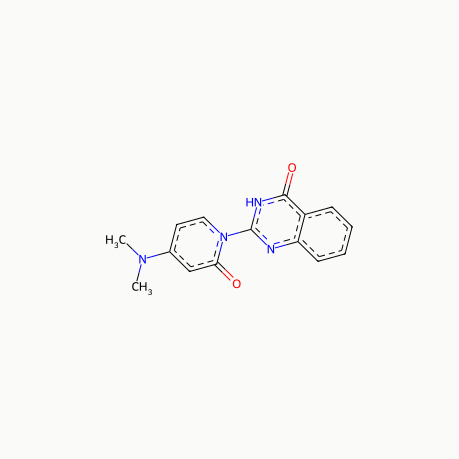 CN(C)c1ccn(-c2nc3ccccc3c(=O)[nH]2)c(=O)c1